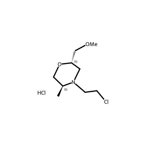 COC[C@@H]1CN(CCCl)[C@@H](C)CO1.Cl